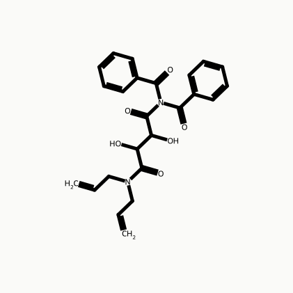 C=CCN(CC=C)C(=O)C(O)C(O)C(=O)N(C(=O)c1ccccc1)C(=O)c1ccccc1